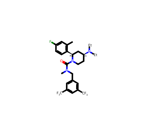 CCN(CC)[C@H]1CCN(C(=O)N(C)Cc2cc(C(F)(F)F)cc(C(F)(F)F)c2)[C@@H](c2ccc(F)cc2C)C1